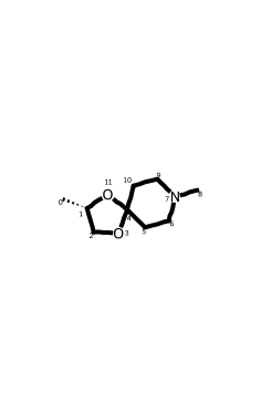 C[C@H]1COC2(CCN(C)CC2)O1